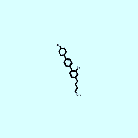 CCCCC1CCC(c2ccc(-c3ccc(CCCCO)cc3CC)cc2)CC1